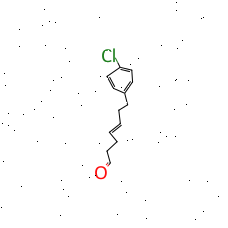 O=CCCC=CCCc1ccc(Cl)cc1